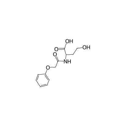 O=C(COc1ccccc1)NC(CCO)C(=O)O